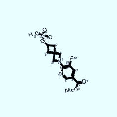 COC(=O)c1cnc(N2CC3(CC(OS(C)(=O)=O)C3)C2)c(F)c1